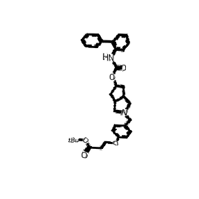 CC(C)(C)OC(=O)CCOc1ccc(CN2CC3CC(OC(=O)Nc4ccccc4-c4ccccc4)CC3C2)cc1